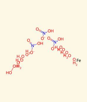 O.O.O.O.O.O.O.O.O.O=[N+]([O-])O.O=[N+]([O-])O.O=[N+]([O-])O.OO.[Fe]